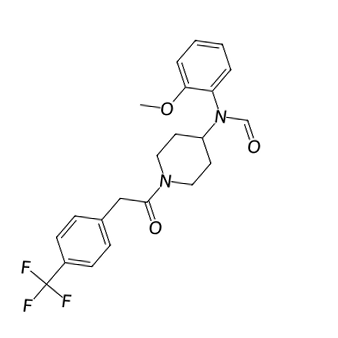 COc1ccccc1N(C=O)C1CCN(C(=O)Cc2ccc(C(F)(F)F)cc2)CC1